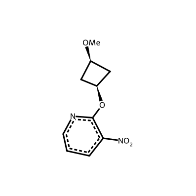 CO[C@H]1C[C@@H](Oc2ncccc2[N+](=O)[O-])C1